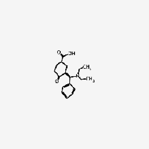 CCN(CC)C(=C1CC(C(=O)O)CCC1=O)c1ccccc1